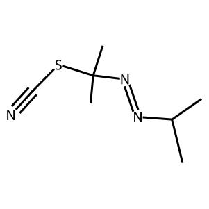 CC(C)N=NC(C)(C)SC#N